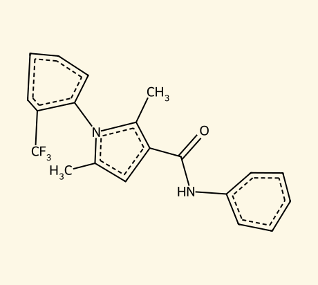 Cc1cc(C(=O)Nc2ccccc2)c(C)n1-c1ccccc1C(F)(F)F